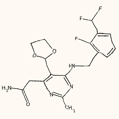 Cc1nc(CC(N)=O)c(C2OCCO2)c(NCc2cccc(C(F)F)c2F)n1